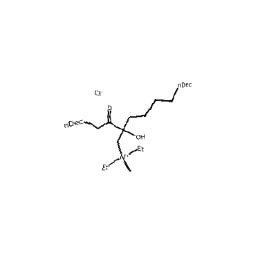 CCCCCCCCCCCCCCC(O)(C[N+](C)(CC)CC)C(=O)CCCCCCCCCCC.[Cl-]